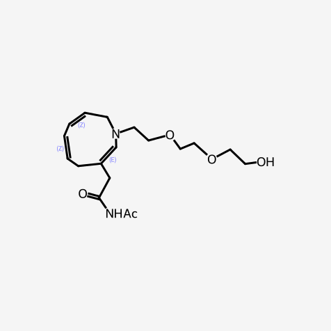 CC(=O)NC(=O)C/C1=C/N(CCOCCOCCO)C/C=C\C=C/C1